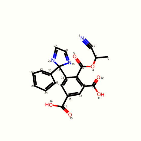 CC(C#N)OC(=O)c1c(C(=O)O)cc(C(=O)O)cc1C1(c2ccccc2)N=CC=N1